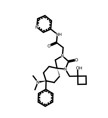 CN(C)[C@]1(c2ccccc2)CC[C@]2(CC1)CN(CC(=O)Nc1cccnc1)C(=O)N2CC1(O)CCC1